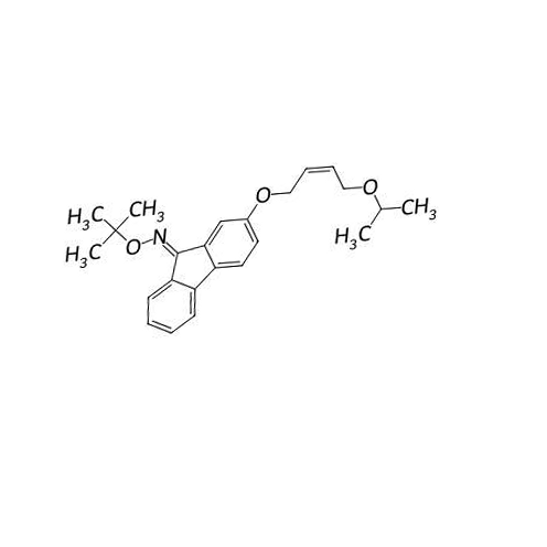 CC(C)OC/C=C\COc1ccc2c(c1)/C(=N/OC(C)(C)C)c1ccccc1-2